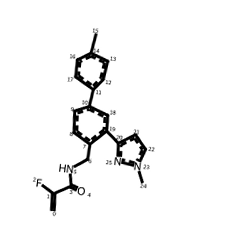 C=C(F)C(=O)NCc1ccc(-c2ccc(C)cc2)cc1-c1ccn(C)n1